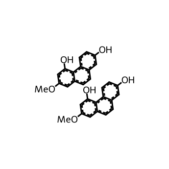 COc1cc(O)c2c(ccc3cc(O)ccc32)c1.COc1cc(O)c2c(ccc3cc(O)ccc32)c1